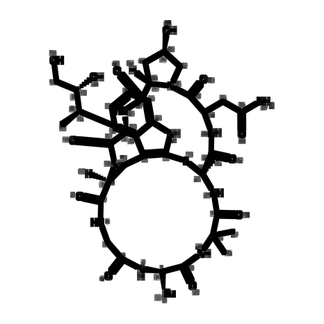 CC[C@H](C)[C@H]1NC(=O)CNC(=O)[C@@H]2Cc3c([nH]c4ccccc34)S[C@H](NC(=O)C(C)(C)NC1=O)C(=O)NC(CC(N)=O)C(=O)N1C[C@H](O)C[C@H]1C(=O)N[C@@H]([C@@H](C)[C@@H](O)CO)C(=O)N2